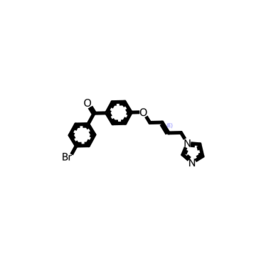 O=C(c1ccc(Br)cc1)c1ccc(OC/C=C/Cn2ccnc2)cc1